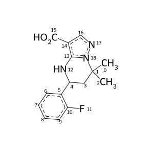 CC1(C)CC(c2ccccc2F)Nc2c(C(=O)O)cnn21